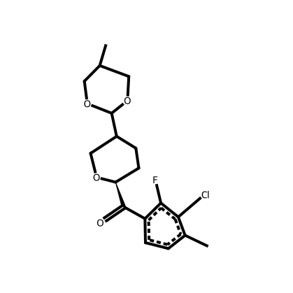 Cc1ccc(C(=O)[C@@H]2CCC(C3OCC(C)CO3)CO2)c(F)c1Cl